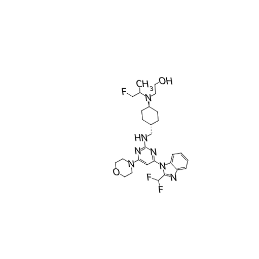 CC(CF)N(CCO)[C@H]1CC[C@H](CNc2nc(N3CCOCC3)cc(-n3c(C(F)F)nc4ccccc43)n2)CC1